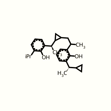 CC(C)c1cccc([C@H](C)C2CC2CC(C)c2cccc([C@@H](C)C3CC3)c2O)c1O